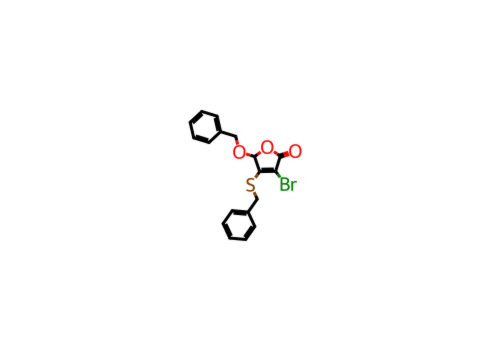 O=C1OC(OCc2ccccc2)C(SCc2ccccc2)=C1Br